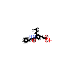 CC(C)=CCc1cc(/C=C/C(=O)O)ccc1NC(=O)CCc1ccccc1